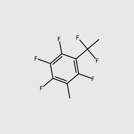 Cc1c(F)c(F)c(F)c(C(C)(F)F)c1F